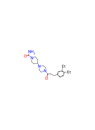 CCc1ccc(C[CH]C(=O)N2CCN(C3CCN(C(N)=O)CC3)CC2)cc1CC